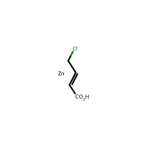 O=C(O)/C=C/CCl.[Zn]